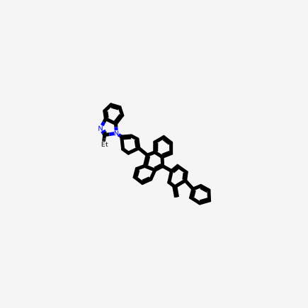 C=C1CC(c2c3ccccc3c(C3=CC=C(n4c(CC)nc5ccccc54)CC3)c3ccccc23)=CC=C1c1ccccc1